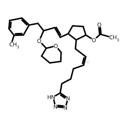 CC(=O)OC1CCC(C=CC(Cc2cccc(C)c2)OC2CCCCO2)C1C/C=C\CCCc1nnn[nH]1